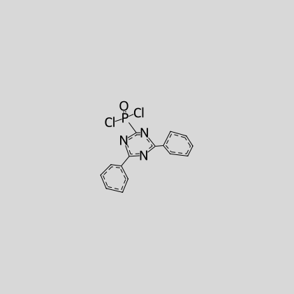 O=P(Cl)(Cl)c1nc(-c2ccccc2)nc(-c2ccccc2)n1